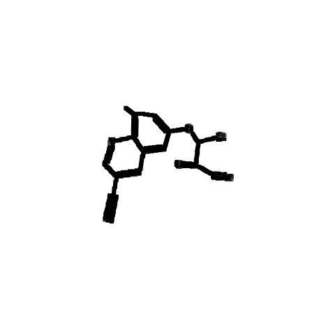 C#Cc1cnc2c(C)cc(OC(CC)C(=O)NC)cc2c1